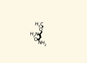 CCOCC(N)=CC(N)=O